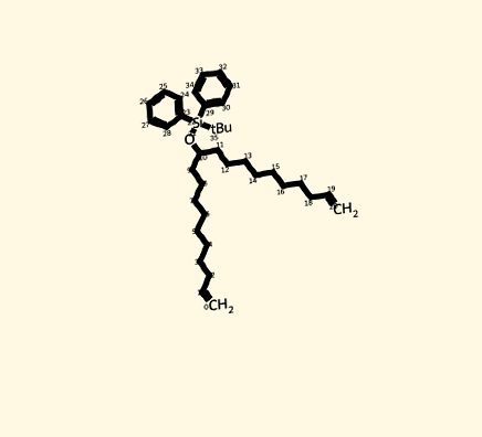 C=CCCCCCCCCC(CCCCCCCCC=C)O[Si](c1ccccc1)(c1ccccc1)C(C)(C)C